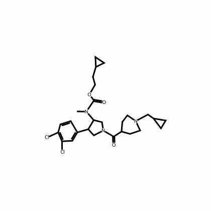 CN(C(=O)OCCC1CC1)C1CN(C(=O)C2CCN(CC3CC3)CC2)CC1c1ccc(Cl)c(Cl)c1